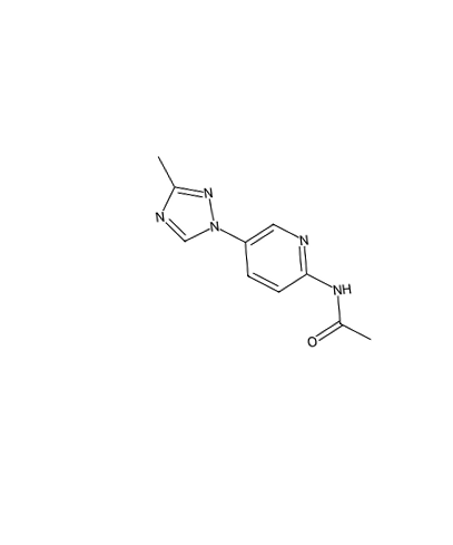 CC(=O)Nc1ccc(-n2cnc(C)n2)cn1